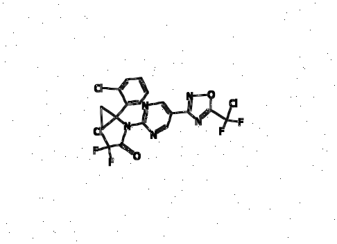 O=C(N(c1ncc(-c2noc(C(F)(F)Cl)n2)cn1)C1(c2ccccc2Cl)CC1)C(F)(F)Cl